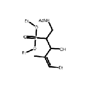 CCC=C(C)C(O)C(CNC(C)=O)P(=O)(OCC)OCC